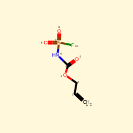 C=CCOC(=O)NS(=O)(=O)F